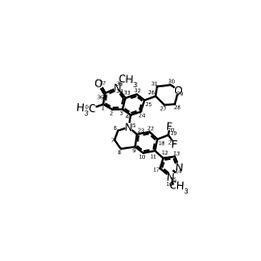 Cc1cc2c(N3CCCc4cc(-c5cnn(C)c5)c(C(F)F)cc43)cc(C3CCOCC3)cc2n(C)c1=O